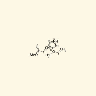 CCOC.COC(=O)CC#N.c1cn[nH]c1